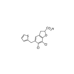 O=C(O)C1Cc2cc(Cc3cccs3)c(Cl)c(Cl)c2O1